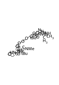 CN[C@@H](C)CN[C@H](C(=O)N1Cc2cc(OCCOCCOCCOCCOc3cc4ncnc(Nc5n[nH]c(C)c5C)c4cc3S(=O)(=O)C(C)(C)C)ccc2C[C@H]1C(=O)N[C@@H]1CCCc2ccccc21)C(C)(C)C